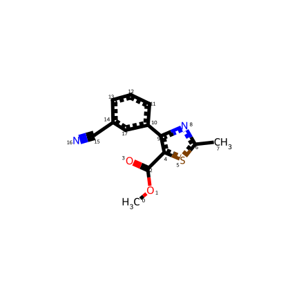 COC(=O)c1sc(C)nc1-c1cccc(C#N)c1